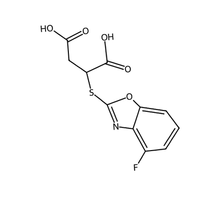 O=C(O)CC(Sc1nc2c(F)cccc2o1)C(=O)O